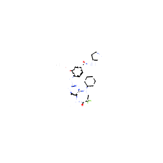 COc1cc(C(=O)N[C@@H]2CCNC2)ccc1Nc1ncc2c(n1)N(C1CCCCC1)CC(F)(F)C(=O)N2C